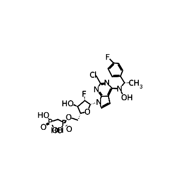 C[C@@H](c1ccc(F)cc1)N(O)c1nc(Cl)nc2c1ccn2[C@@H]1O[C@H](COP(=O)(O)CP(=O)(O)O)[C@@H](O)[C@@H]1F